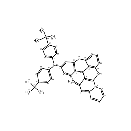 C=C1C=C2C=CC=CN2C2=C1B1c3ccc(N(c4ccc(C(C)(C)C)cc4)c4ccc(C(C)(C)C)cc4)cc3Sc3cccc(c31)O2